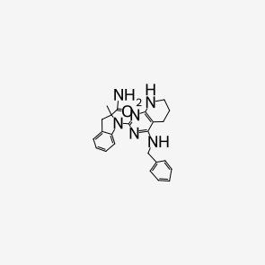 CC1(C(N)=O)Cc2ccccc2N1c1nc2c(c(NCc3ccccc3)n1)CCCN2